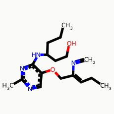 C=N/C(=C\CC)COc1cnc(C)nc1NC(CCC)CCO